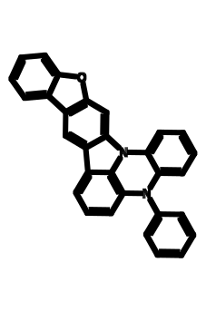 c1ccc(N2c3ccccc3-n3c4cc5oc6ccccc6c5cc4c4cccc2c43)cc1